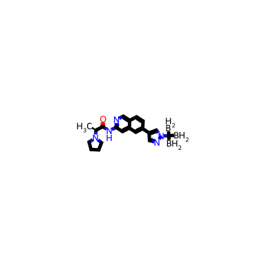 BC(B)(B)n1cc(-c2ccc3cnc(NC(=O)[C@H](C)N4CCCC4)cc3c2)cn1